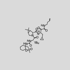 C=CCCNC(=O)C(=O)C(CC1CC1)NC(=O)[C@@H]1C2C(CN1C(=O)[C@@H](NC(=O)NC1(CS(C)(=O)=O)CCCCC1)C(C)(C)C)C2(C)C